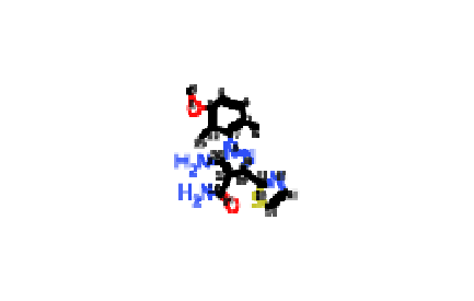 COc1ccc(C)c(-n2nc(-c3nccs3)c(C(N)=O)c2N)c1C